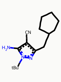 CC(C)(C)n1nc(CC2CCCCC2)c(C#N)c1N